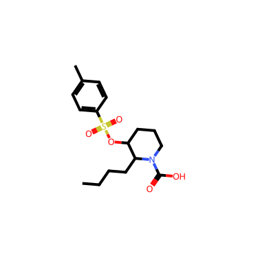 CCCCC1C(OS(=O)(=O)c2ccc(C)cc2)CCCN1C(=O)O